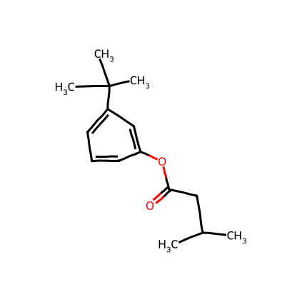 CC(C)CC(=O)Oc1cccc(C(C)(C)C)c1